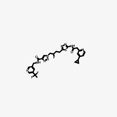 CC(F)(F)c1cncc(CNC(=O)c2cn(CC(F)CCc3nnc(NC(=O)Cc4cc(C5CC5)ccn4)s3)nn2)c1